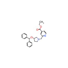 CCOC(=O)c1ccnc(CN2CC[C@@H](OC(c3ccccc3)c3ccccc3)C2)c1